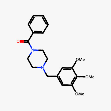 COc1cc(CN2CCN(C(=O)c3ccccc3)CC2)cc(OC)c1OC